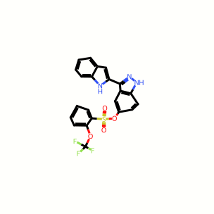 O=S(=O)(Oc1ccc2[nH]nc(-c3cc4ccccc4[nH]3)c2c1)c1ccccc1OC(F)(F)F